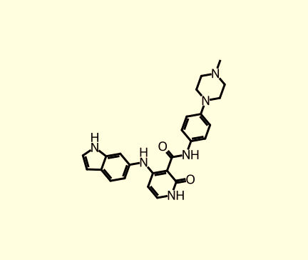 CN1CCN(c2ccc(NC(=O)c3c(Nc4ccc5cc[nH]c5c4)cc[nH]c3=O)cc2)CC1